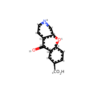 O=C(O)c1ccc2oc3cnccc3c(=O)c2c1